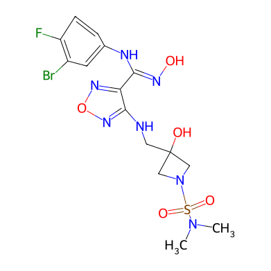 CN(C)S(=O)(=O)N1CC(O)(CNc2nonc2/C(=N/O)Nc2ccc(F)c(Br)c2)C1